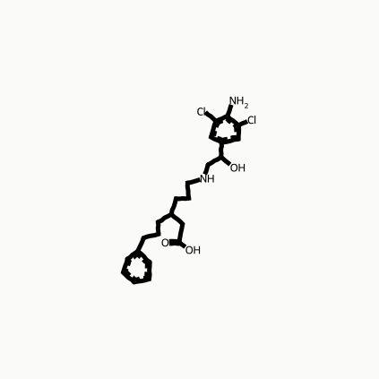 Nc1c(Cl)cc(C(O)CNCCCC(CCCc2ccccc2)CC(=O)O)cc1Cl